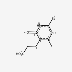 CCc1nc(C)c(CCC(=O)O)c(=O)[nH]1